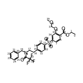 CCOC(=O)c1ccc(S(=O)(=O)c2ccc(CCN(Cc3ccccc3)C(=O)C(F)(F)F)cc2)cc1OCOC